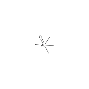 [CH3][Au]([CH3])([CH3])([CH3])=[O]